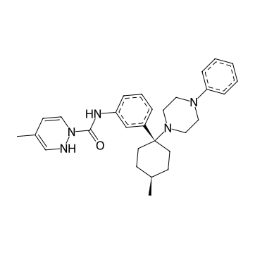 CC1=CNN(C(=O)Nc2cccc([C@]3(N4CCN(c5ccccc5)CC4)CC[C@H](C)CC3)c2)C=C1